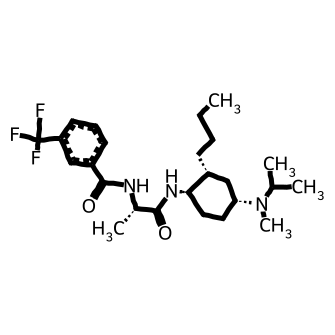 CCCC[C@@H]1C[C@H](N(C)C(C)C)CC[C@@H]1NC(=O)[C@H](C)NC(=O)c1cccc(C(F)(F)F)c1